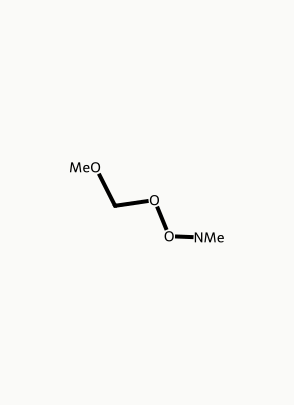 CNOOCOC